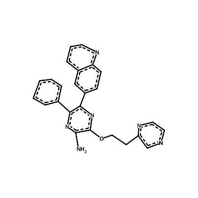 Nc1nc(-c2ccccc2)c(-c2ccc3ncccc3c2)nc1OCCc1cnccn1